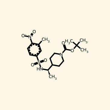 Cc1cc(S(=O)(=O)N[C@H](C)C2CCN(C(=O)OC(C)(C)C)CC2)ccc1[N+](=O)[O-]